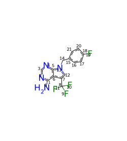 Nc1ncnc2c1c(C(F)(F)F)cn2Cc1ccc(F)cc1